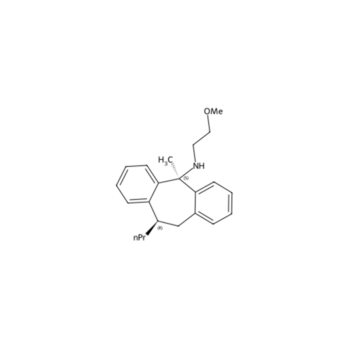 CCC[C@@H]1Cc2ccccc2[C@](C)(NCCOC)c2ccccc21